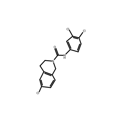 O=C(Nc1ccc(Cl)c(Cl)c1)N1CCc2cc(Cl)ccc2C1